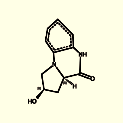 O=C1Nc2ccccc2N2C[C@H](O)C[C@H]12